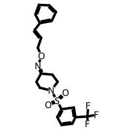 O=S(=O)(c1cccc(C(F)(F)F)c1)N1CCC(=NOC/C=C/c2ccccc2)CC1